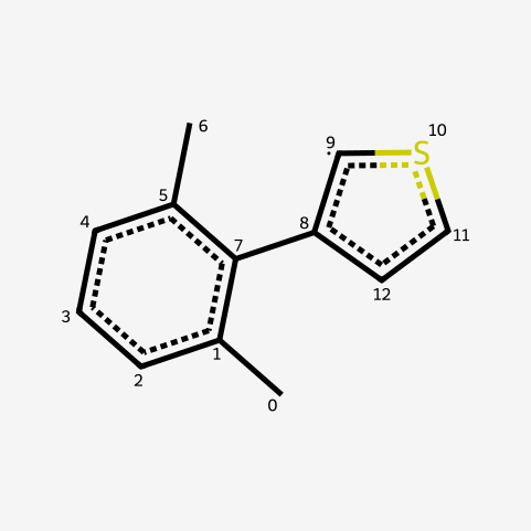 Cc1cccc(C)c1-c1[c]scc1